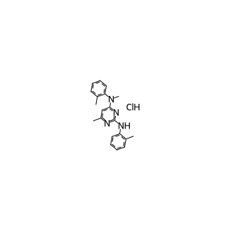 Cc1cc(N(C)c2ccccc2C)nc(Nc2ccccc2C)n1.Cl